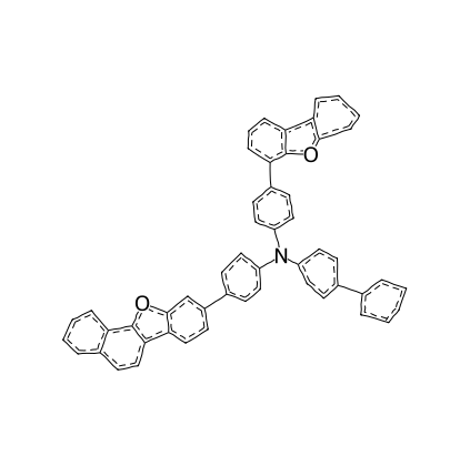 c1ccc(-c2ccc(N(c3ccc(-c4ccc5c(c4)oc4c6ccccc6ccc54)cc3)c3ccc(-c4cccc5c4oc4ccccc45)cc3)cc2)cc1